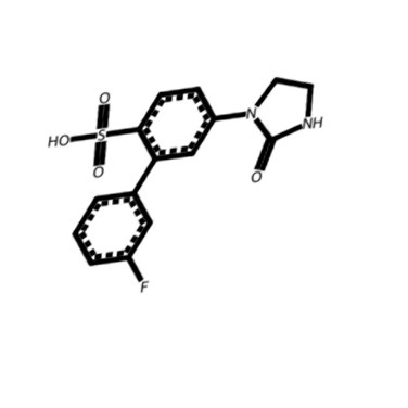 O=C1NCCN1c1ccc(S(=O)(=O)O)c(-c2cccc(F)c2)c1